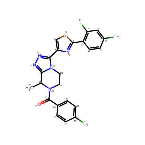 CC1c2nnc(-c3csc(-c4ccc(F)cc4F)n3)n2CCN1C(=O)c1ccc(F)cc1